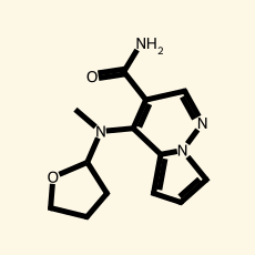 CN(c1c(C(N)=O)cnn2cccc12)C1CCCO1